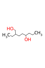 CCCC(O)CCC(CC)CO